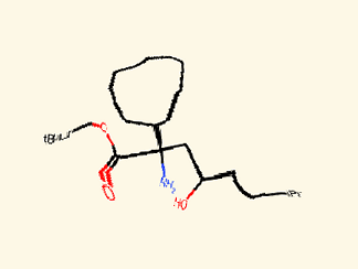 CC(C)CCC(O)CC(N)(C(=O)OC(C)(C)C)C1CCCCC1